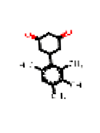 Cc1cc(C)c(C2CC(=O)CC(=O)C2)c(C)c1C